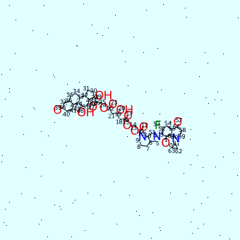 COc1c(N2CC3CCCN(C(=O)OCOC(=O)CC(O)CC(=O)OCC(=O)[C@@]4(O)CCC5C6CCC7=CC(=O)C=C[C@]7(C)C6[C@@H](O)C[C@@]54C)C3C2)c(F)cc2c(=O)ccn(C3CC3)c12